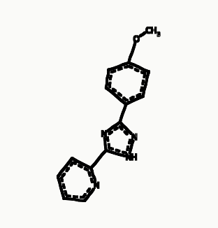 COc1ccc(-c2n[nH]c(-c3ccccn3)n2)cc1